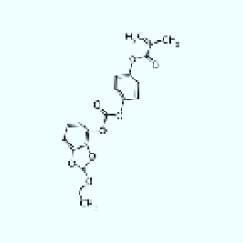 C=C(C)C(=O)Oc1ccc(OC(=O)Oc2cccc3c2OC(OCC)O3)cc1